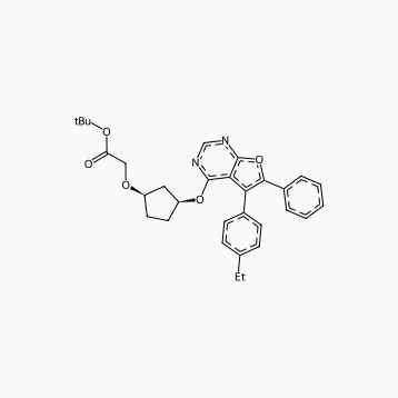 CCc1ccc(-c2c(-c3ccccc3)oc3ncnc(O[C@H]4CC[C@@H](OCC(=O)OC(C)(C)C)C4)c23)cc1